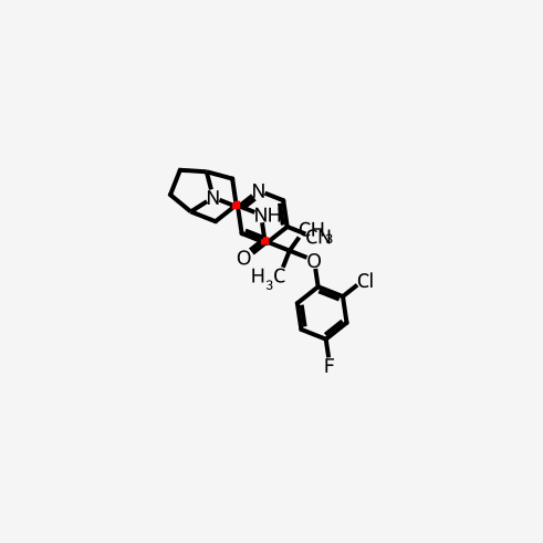 CC(C)(Oc1ccc(F)cc1Cl)C(=O)NC1CC2CCC(C1)N2c1ccc(C#N)cn1